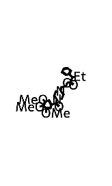 CCC(C(=O)OCCN1CCN(C(=O)c2cc(OC)c(OC)c(OC)c2)CC1)c1ccccc1